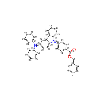 O=C(OCc1ccccc1)c1ccc(-n2c3ccccc3c3cc(N(c4ccccc4)c4ccccc4)ccc32)cc1